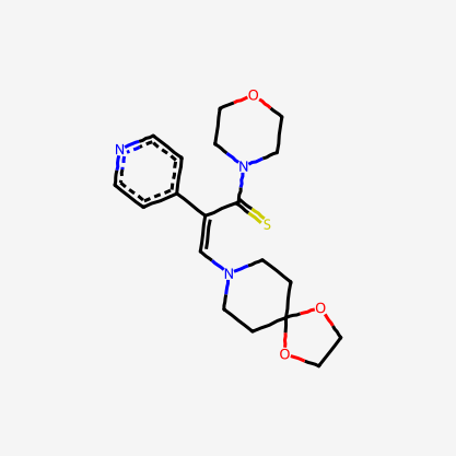 S=C(C(=CN1CCC2(CC1)OCCO2)c1ccncc1)N1CCOCC1